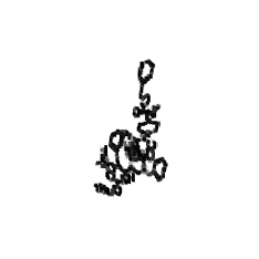 CC(C)[C@H](NC(=O)[C@H](Cc1ccccc1)C[C@H]([C@@H](NC(=O)OC(C)(C)C)C(O[SiH](C)C)c1ccccc1)C(C)(C)C)C(=O)N1CCC(N(C)C(=O)OCc2ccccc2)CC1